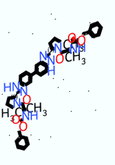 CC(C)(NC(=O)OCc1ccccc1)C(=O)N1CCC[C@H]1c1nc2cc(-c3ccc4[nH]c([C@@H]5CCCN5C(=O)C(C)(C)NC(=O)OCc5ccccc5)nc4c3)ccc2[nH]1